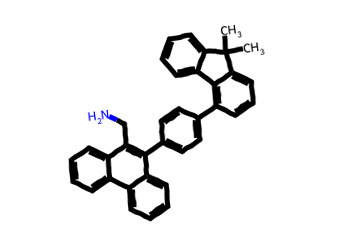 CC1(C)c2ccccc2-c2c(-c3ccc(-c4c(CN)c5ccccc5c5ccccc45)cc3)cccc21